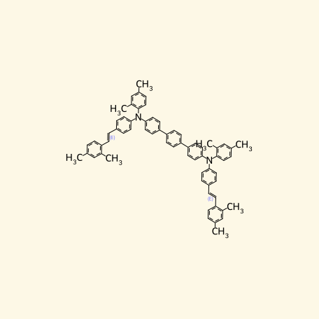 Cc1ccc(/C=C/c2ccc(N(c3ccc(-c4ccc(-c5ccc(N(c6ccc(/C=C/c7ccc(C)cc7C)cc6)c6ccc(C)cc6C)cc5)cc4)cc3)c3ccc(C)cc3C)cc2)c(C)c1